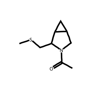 CSCC1C2CC2CN1C(C)=O